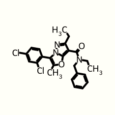 CCc1nn2c(-c3ccc(Cl)cc3Cl)c(C)oc2c1C(=O)N(CC)Cc1ccccc1